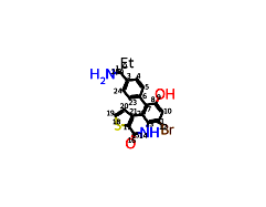 CC[C@@H](N)c1ccc(-c2c(O)cc(Br)c3[nH]c(=O)c4sccc4c23)cc1